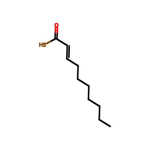 CCCCCCC/C=C/C(=O)S